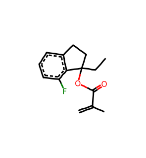 C=C(C)C(=O)OC1(CC)CCc2cccc(F)c21